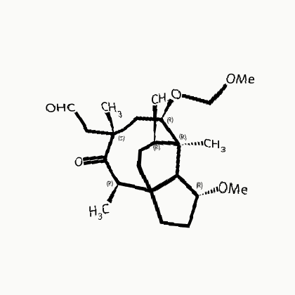 COCO[C@@H]1C[C@@](C)(CC=O)C(=O)[C@H](C)C23CC[C@@H](C)[C@]1(C)C2[C@H](OC)CC3